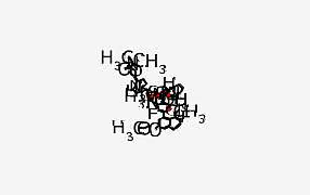 CCc1c(F)ccc2cc(OCOC)cc(-c3c(Cl)cc4c(N5C[C@H]6CC[C@@H](C5)N6C(=O)OC(C)(C)C)nc(OCC56CCCN5C(COC(=O)N(C)C)CC6)nc4c3F)c12